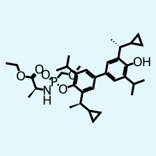 CCOC(=O)[C@H](C)NP(=O)(COC)Oc1c(C(C)C)cc(-c2cc(C(C)C)c(O)c([C@H](C)C3CC3)c2)cc1[C@H](C)C1CC1